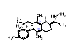 C=C(C)CC/C(C)=C1/N/C(=C(/C)NN)CC/C1=C(\C)C(=C)c1ccc(C)cc1